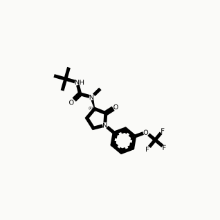 CN(C(=O)NC(C)(C)C)[C@@H]1CCN(c2cccc(OC(F)(F)F)c2)C1=O